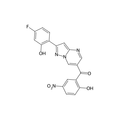 O=C(c1cnc2cc(-c3ccc(F)cc3O)nn2c1)c1cc([N+](=O)[O-])ccc1O